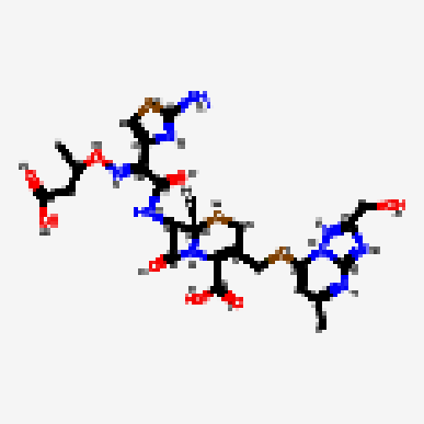 Cc1cc(SCC2=C(C(=O)O)N3C(=O)C(NC(=O)C(=NOC(C)CC(=O)O)c4csc(N)n4)[C@@H]3SC2)n2nc(CO)nc2n1